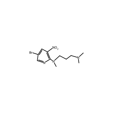 CN(C)CCCN(C)c1ncc(Br)cc1[N+](=O)[O-]